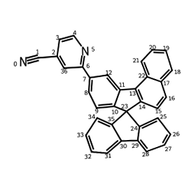 N#Cc1ccnc(-c2ccc3c(c2)-c2c(ccc4ccccc24)C32c3ccccc3-c3ccccc32)c1